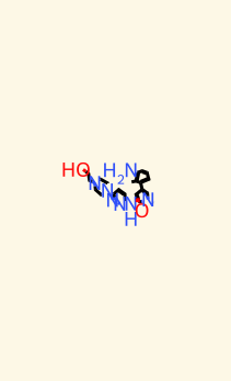 Cc1c(N)cccc1-c1cc(Nc2ccc(N3CCN(CCO)CC3)nn2)c(=O)n(C)c1